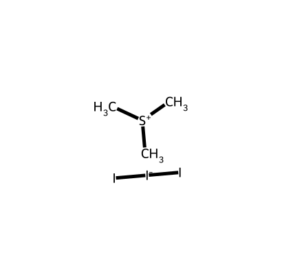 C[S+](C)C.I[I-]I